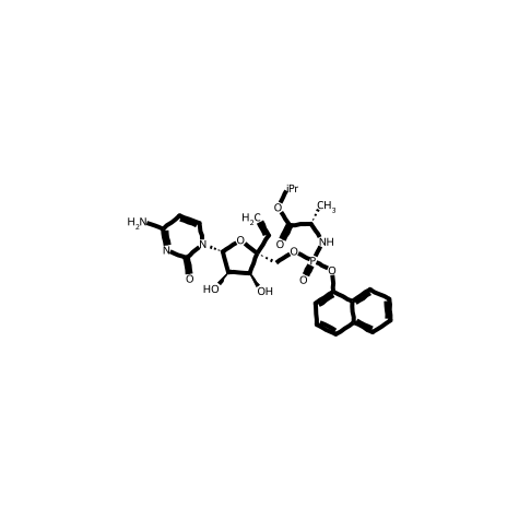 C=C[C@]1(COP(=O)(N[C@@H](C)C(=O)OC(C)C)Oc2cccc3ccccc23)O[C@@H](n2ccc(N)nc2=O)[C@H](O)[C@@H]1O